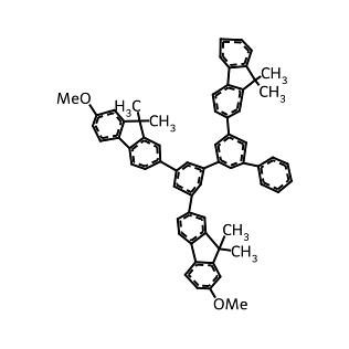 COc1ccc2c(c1)C(C)(C)c1cc(-c3cc(-c4cc(-c5ccccc5)cc(-c5ccc6c(c5)C(C)(C)c5ccccc5-6)c4)cc(-c4ccc5c(c4)C(C)(C)c4cc(OC)ccc4-5)c3)ccc1-2